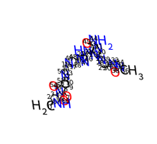 C=C1CCC(N2C(=O)c3ccc(N4CC(CN5CCC(n6cc(Nc7nc(N8CCC[C@H](N9CCN(C)C9=O)C8)cnc7C(N)=O)cn6)CC5)C4)cc3C2=O)C(=O)N1